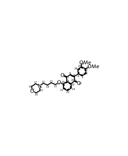 COc1ccc(C2=CC(=O)c3c(OCCCCN4CCOCC4)cccc3C2=O)cc1OC